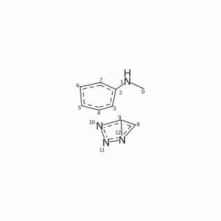 CNc1ccccc1.c1c2nnn1-2